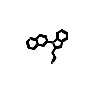 O=CCc1cc2ccccc2n1-c1ccc2ncccc2c1